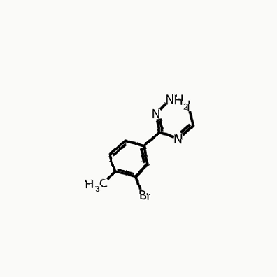 Cc1ccc(C(/N=C\I)=N/N)cc1Br